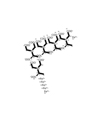 C[C@@H](C(=O)[O-])N(CC(=O)[O-])CC(=O)[O-].C[C@@H](C(=O)[O-])N(CC(=O)[O-])CC(=O)[O-].C[C@@H](C(=O)[O-])N(CC(=O)[O-])CC(=O)[O-].C[C@@H](C(=O)[O-])N(CC(=O)[O-])CC(=O)[O-].C[C@@H](C(=O)[O-])N(CC(=O)[O-])CC(=O)[O-].[Fe+2].[Fe+2].[Fe+2].[Fe+3].[Fe+3].[Fe+3]